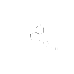 COC(=O)c1cnc(Cl)cc1NC1CC(O)C1